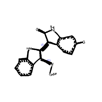 CO/N=C1/C(=C2/C(=O)Nc3cc(Cl)ccc32)Nc2ccccc21